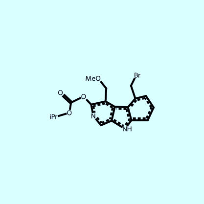 COCc1c(OC(=O)OC(C)C)ncc2[nH]c3cccc(CBr)c3c12